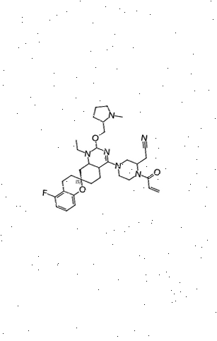 C=CC(=O)N1CCN(C2=NC(OCC3CCCN3C)N(CC)C3C[C@@]4(CCc5c(F)cccc5O4)CCC23)CC1CC#N